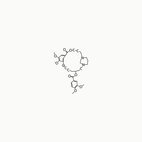 COc1ccc(C(=O)OC2CCCOc3cc(cc(OC)c3OC)C(=O)OCCCN3CCCN(CC2)CC3)cc1OC